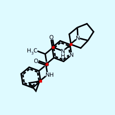 CC(Oc1ccccc1)C(=O)NC1CC2CCC(C1)N2c1ccc(C(=O)NC2CC2)cn1